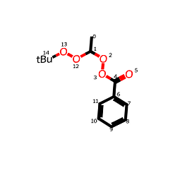 CC(OOC(=O)c1ccccc1)OOC(C)(C)C